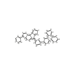 c1ccc(-n2ccc3c4c5ccccc5n(-c5cccc(-c6ccc7c8ccccc8c8ccccc8c7c6)c5)c4ccc32)cc1